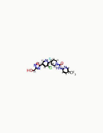 O=C(Nc1ccc(C(F)(F)F)cn1)N1CCC(F)(c2ncc(-c3nc(CO)no3)cc2Cl)CC1